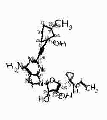 CCNC(=O)[C@H]1O[C@@H](n2cnc3c(N)nc(C#C[C@@]4(O)CCC[C@@H](C)C4)nc32)C(O)[C@H]1O